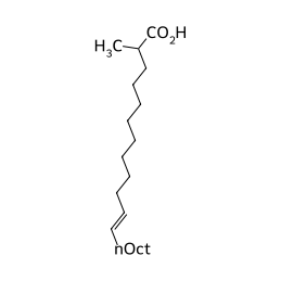 CCCCCCCC/C=C/CCCCCCCCC(C)C(=O)O